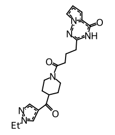 CCn1cc(C(=O)C2CCN(C(=O)CCCc3nn4cccc4c(=O)[nH]3)CC2)cn1